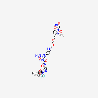 Cn1c(=O)n(C2CCC(=O)NC2=O)c2cccc(CCCOCCOCCNCc3ccc(-n4cc(NC(=O)c5coc(-c6ccnc(N(CC(F)(F)F)C(=O)OC(C)(C)C)c6)n5)c(C(N)=O)n4)cc3)c21